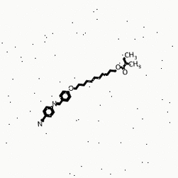 CCC(C)C(=O)OCCCCCCCCCCCOc1ccc(C=Nc2ccc(C#N)cc2)cc1